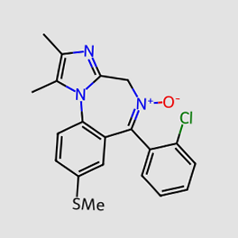 CSc1ccc2c(c1)C(c1ccccc1Cl)=[N+]([O-])Cc1nc(C)c(C)n1-2